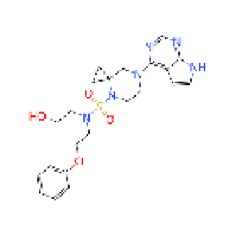 O=S(=O)(N(CCO)CCOc1ccccc1)N1CCN(c2ncnc3[nH]ccc23)CC12CC2